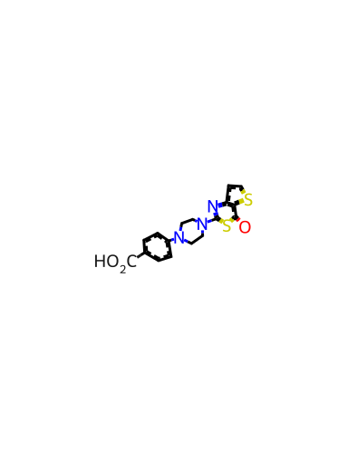 O=C(O)c1ccc(N2CCN(c3nc4ccsc4c(=O)s3)CC2)cc1